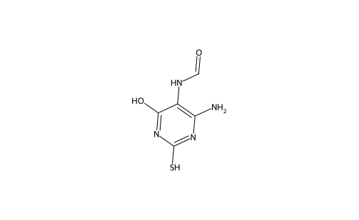 Nc1nc(S)nc(O)c1NC=O